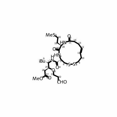 CC[C@@H](C)C(NC(=O)[C@H]1CSSCC/C=C/CCC(=O)N[C@H](CCSC)C(=O)N1)[C@H](CC(=O)OC)OCCC=O